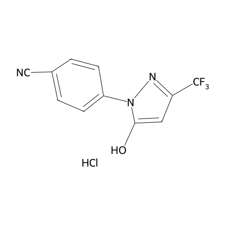 Cl.N#Cc1ccc(-n2nc(C(F)(F)F)cc2O)cc1